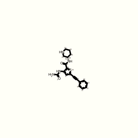 NC(=O)Nc1cc(C#Cc2ccccc2)sc1C(=O)N[C@H]1CCCNC1